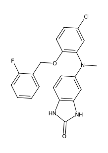 CN(c1ccc2[nH]c(=O)[nH]c2c1)c1cc(Cl)ccc1OCc1ccccc1F